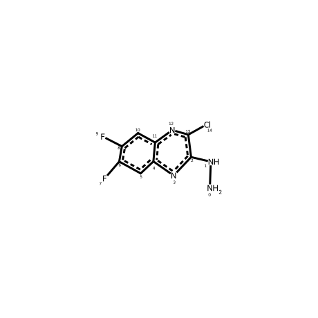 NNc1nc2cc(F)c(F)cc2nc1Cl